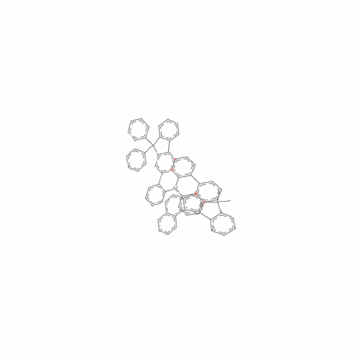 CC1(C)c2ccccc2-c2ccc(N(c3ccccc3-c3ccc4c(c3)C(c3ccccc3)(c3ccccc3)c3ccccc3-4)c3ccccc3-c3cccc4oc5c6ccccc6ccc5c34)cc21